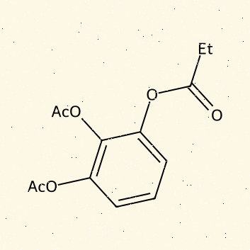 CCC(=O)Oc1cccc(OC(C)=O)c1OC(C)=O